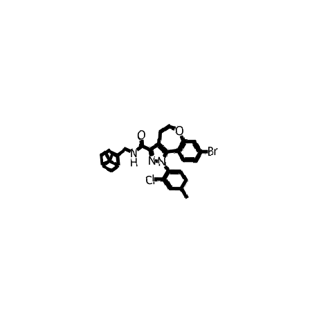 CC1C=C(Cl)C(n2nc(C(=O)NCC3CCC4CC3C4(C)C)c3c2-c2ccc(Br)cc2OCC3)=CC1